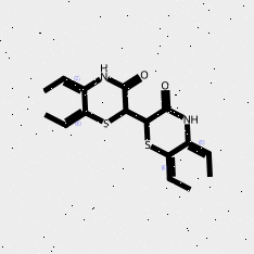 C/C=C1/NC(=O)C(C2SC(=C/C)/C(=C\C)NC2=O)S/C1=C/C